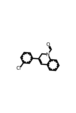 O=CN1CC(c2cccc(Cl)c2)=Cc2ccccc21